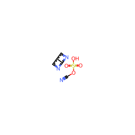 N#COS(=O)(=O)O.c1nc2ncc1-2